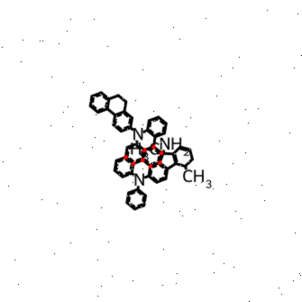 CC1CC=CC2=C1c1ccc(N(c3ccccc3)c3ccccc3-c3cccc(-c4ccccc4N(c4ccccc4)c4ccc5c(c4)CCc4ccccc4-5)c3)cc1C2(C)N